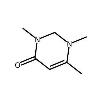 CC1=CC(=O)N(C)CN1C